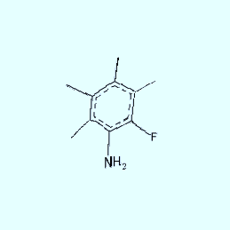 Cc1c(C)c(C)c(F)c(N)c1C